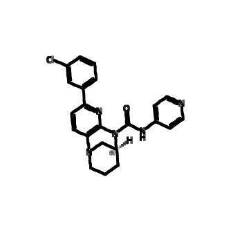 O=C(Nc1ccncc1)N1c2nc(-c3cccc(Cl)c3)ccc2N2CCC[C@H]1C2